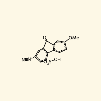 COc1ccc2c(c1)C(=O)c1cc([N+]#N)ccc1-2.O=S(=O)(O)O